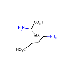 CCCC[C@H](N)C(=O)O.NCCCC(=O)O